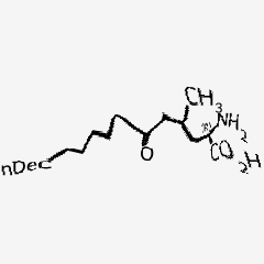 CCCCCCCCCCCCCCCC(=O)CC(C)C[C@@H](N)C(=O)O